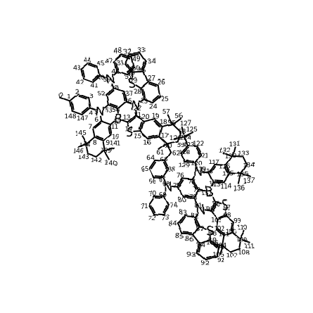 Cc1ccc(N2c3cc4c(cc3B3c5sc6cc7c(cc6c5N(c5cccc6c5sc5ccccc56)c5cc(N(c6ccccc6)c6ccccc6)cc2c53)C(C)(C)CCC7(C)Cc2cccc(N(c3ccccc3)c3cc5c6c(c3)N(c3cccc7c3sc3ccccc37)c3c(sc7cc8c(cc37)C(C)(C)CCC8(C)C)B6c3cc6c(cc3N5c3ccc(C(C)(C)C)cc3)C(C)(C)CCC6(C)C)c2)C(C)(C)CCC4(C)C)cc1